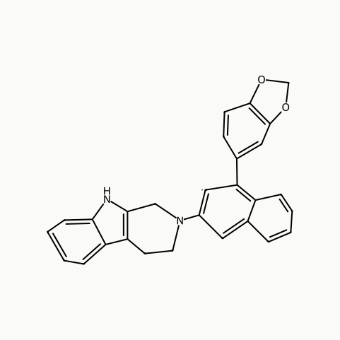 [c]1c(N2CCc3c([nH]c4ccccc34)C2)cc2ccccc2c1-c1ccc2c(c1)OCO2